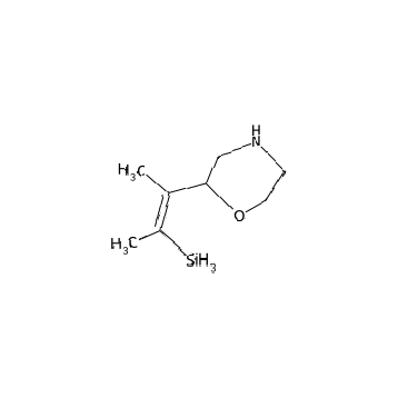 CC([SiH3])=C(C)C1CNCCO1